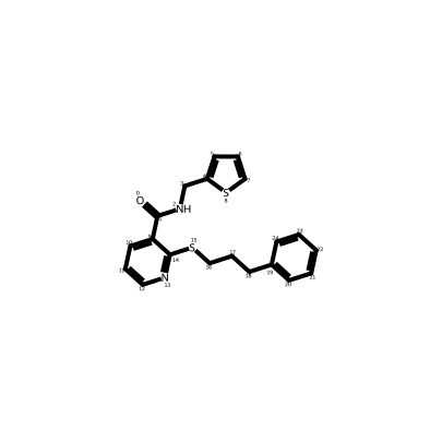 O=C(NCc1cccs1)c1cccnc1SCCCc1ccccc1